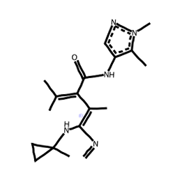 C=N/C(NC1(C)CC1)=C(\C)C(C(=O)Nc1cnn(C)c1C)=C(C)C